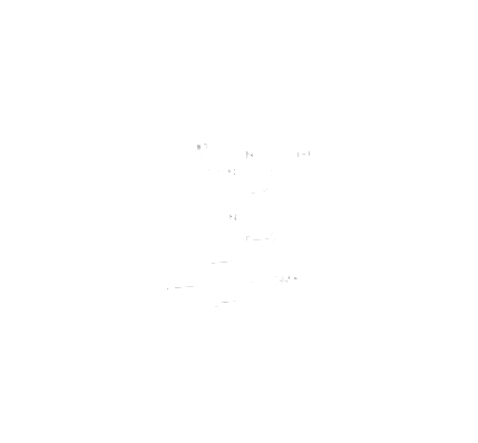 COc1ccc(Cl)cc1C(=S)/N=c1\sc(C(C)(C)C)nn1CC(C)C